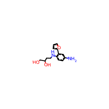 Nc1ccc(NCCC(O)CO)c(-c2ccco2)c1